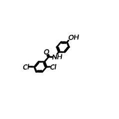 O=C(Nc1ccc(O)cc1)c1cc(Cl)ccc1Cl